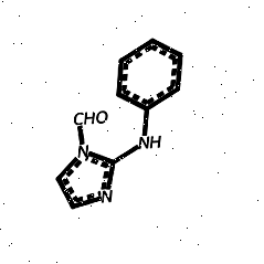 O=Cn1ccnc1Nc1ccccc1